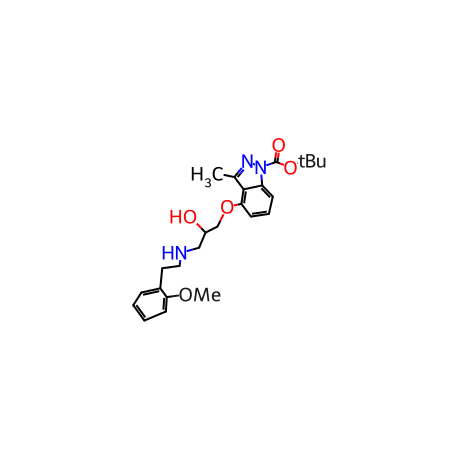 COc1ccccc1CCNCC(O)COc1cccc2c1c(C)nn2C(=O)OC(C)(C)C